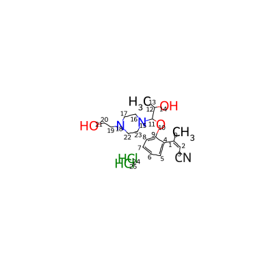 C/C(=C/C#N)c1ccccc1OC(C(C)O)N1CCN(CCO)CC1.Cl.Cl